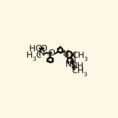 CCNc1ncc2c(n1)N(C)CCN(c1cccc(CO[C@H](CCN(C)C(=O)O)c3ccccc3)c1)C2